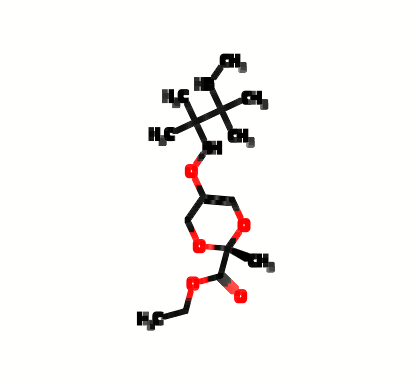 CBC(C)(C)C(C)(C)BOC1=CO[C@](C)(C(=O)OCC)OC1